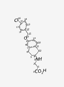 O=C(O)CCNC1CCc2cc(OCc3ccc(Cl)cc3)ccc2C1